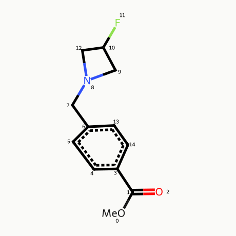 COC(=O)c1ccc(CN2CC(F)C2)cc1